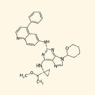 C=C(OC)C1(Nc2nc(Nc3ccc4nccc(-c5ccccc5)c4c3)nc3c2ncn3C2CCCCO2)CC1